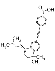 CC(C)CSC1=CCC(C)(C)c2ccc(C#Cc3ccc(C(=O)O)cc3)cc21